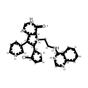 O=c1[nH]cnc2c(-c3cccnc3)c(-c3sccc3Cl)n(CCNc3ncnc4ccccc34)c12